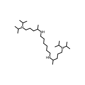 CC(CCCN(C(C)C)C(C)C)NCCCCCCNC(C)CCCN(C(C)C)C(C)C